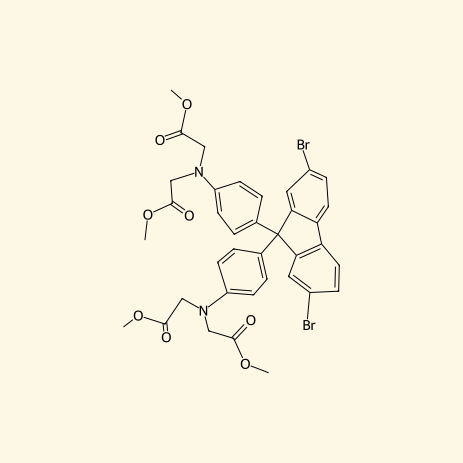 COC(=O)CN(CC(=O)OC)c1ccc(C2(c3ccc(N(CC(=O)OC)CC(=O)OC)cc3)c3cc(Br)ccc3-c3ccc(Br)cc32)cc1